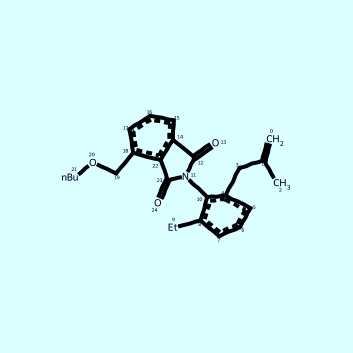 C=C(C)Cc1cccc(CC)c1N1C(=O)c2cccc(COCCCC)c2C1=O